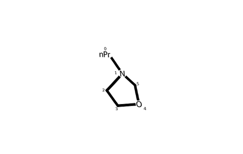 [CH2]CCN1CCOC1